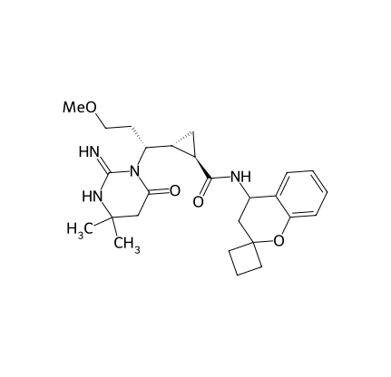 COCC[C@H]([C@@H]1C[C@H]1C(=O)NC1CC2(CCC2)Oc2ccccc21)N1C(=N)NC(C)(C)CC1=O